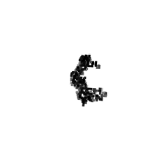 Cc1cc(CC(=O)N2CCN3C[C@H](c4ccc(F)c(C#N)c4C)OC[C@@H]3C2)ncc1-n1cnnn1